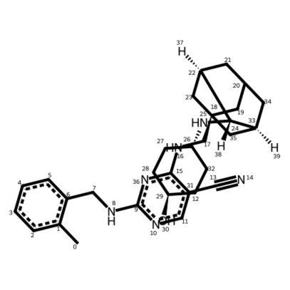 Cc1ccccc1CNc1ncc(C#N)c(NC[C@]23CC4C[C@H](C2)[C@@H](N[C@H]2CC[C@H](O)CC2)[C@@H](C4)C3)n1